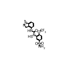 Cn1ncc2c(NC(=O)N(S)c3cc(S(N)(=O)=O)ccc3OC(F)(F)F)cccc21